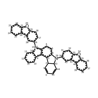 C1=CC2c3c(ccc4c3c3ccccc3n4-c3ccc4oc5ccccc5c4c3)N(c3ccc4oc5ccccc5c4c3)C2C=C1